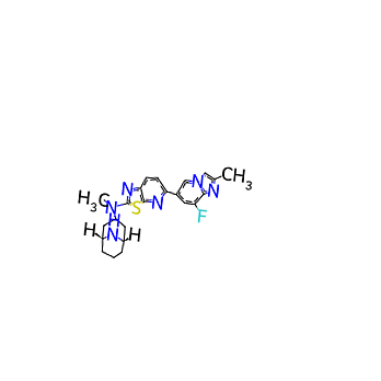 Cc1cn2cc(-c3ccc4nc(N(C)[C@@H]5C[C@H]6CCC[C@@H](C5)N6)sc4n3)cc(F)c2n1